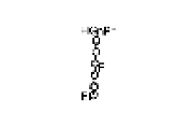 CCCC(O)C1CCC(C2CCC(c3ccc(C4=CCC(C5CCC(OCC)CC5)CC4)c(F)c3)CC2)CC1